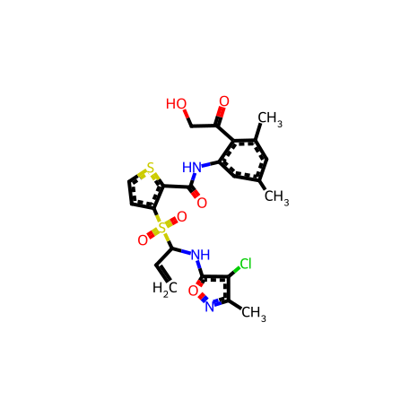 C=CC(Nc1onc(C)c1Cl)S(=O)(=O)c1ccsc1C(=O)Nc1cc(C)cc(C)c1C(=O)CO